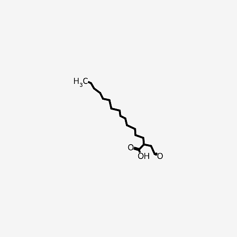 CCCCCCCCCCCCCCC(CC=O)C(=O)O